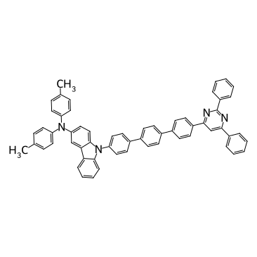 Cc1ccc(N(c2ccc(C)cc2)c2ccc3c(c2)c2ccccc2n3-c2ccc(-c3ccc(-c4ccc(-c5cc(-c6ccccc6)nc(-c6ccccc6)n5)cc4)cc3)cc2)cc1